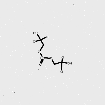 O=[PH](OCC(O)(Cl)Cl)OCC(O)(Cl)Cl